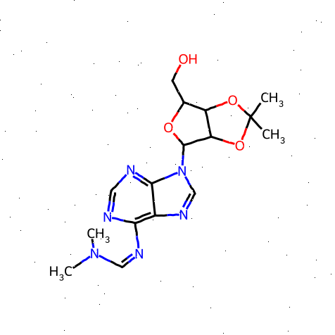 CN(C)/C=N\c1ncnc2c1ncn2C1OC(CO)C2OC(C)(C)OC21